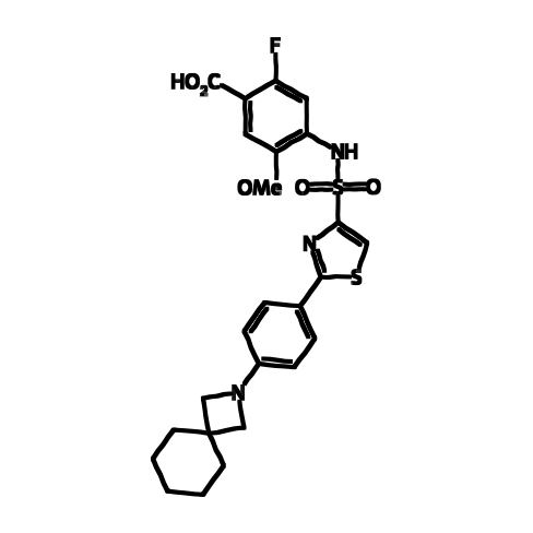 COc1cc(C(=O)O)c(F)cc1NS(=O)(=O)c1csc(-c2ccc(N3CC4(CCCCC4)C3)cc2)n1